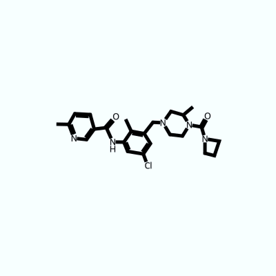 Cc1ccc(C(=O)Nc2cc(Cl)cc(CN3CCN(C(=O)N4CCC4)C(C)C3)c2C)cn1